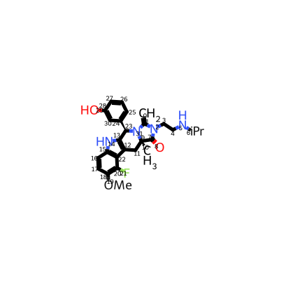 C=C1N(CCNC(C)C)C(=O)[C@]2(C)Cc3c([nH]c4ccc(OC)c(F)c34)[C@@H](c3cccc(O)c3)N12